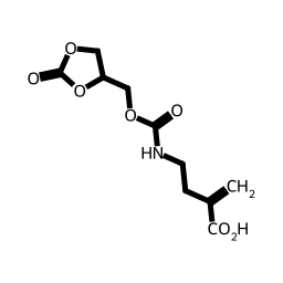 C=C(CCNC(=O)OCC1COC(=O)O1)C(=O)O